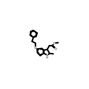 COC(=O)CC1c2cc(OCCc3ccccc3)ccc2NC1C